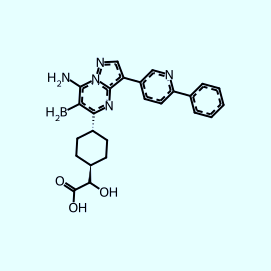 Bc1c(N)n2ncc(-c3ccc(-c4ccccc4)nc3)c2nc1[C@H]1CC[C@H](C(O)C(=O)O)CC1